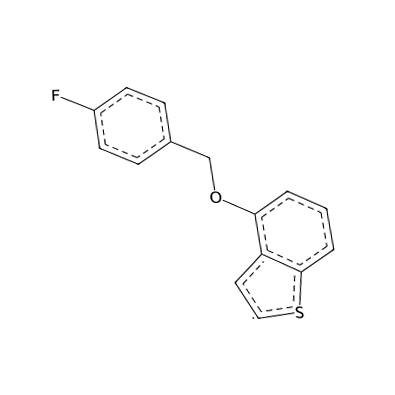 Fc1ccc(COc2cccc3s[c]cc23)cc1